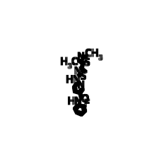 Cc1nc(C)c(-c2csc(Nc3ccc(C(=O)Nc4ccccc4F)cn3)n2)s1